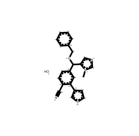 Cl.Cn1cncc1C(OCc1ccccc1)c1ccc(C#N)c(-c2ccsc2)c1